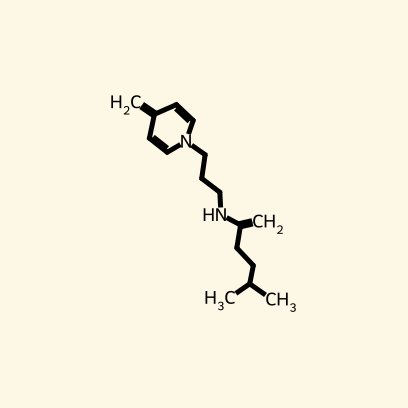 C=C1C=CN(CCCNC(=C)CCC(C)C)C=C1